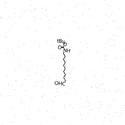 CC(C)(C)OC(=O)NCCCCCCCCCC[C]=O